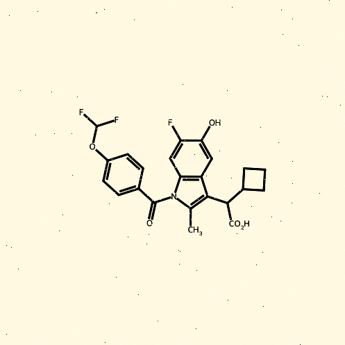 Cc1c(C(C(=O)O)C2CCC2)c2cc(O)c(F)cc2n1C(=O)c1ccc(OC(F)F)cc1